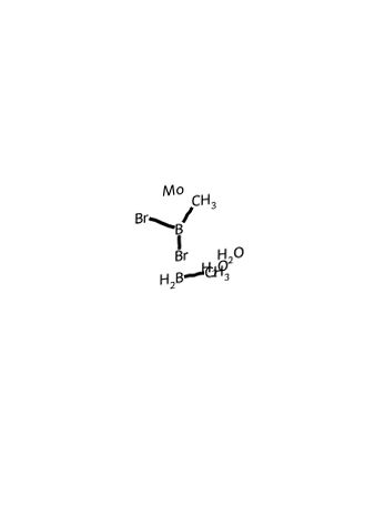 BC.CB(Br)Br.O.O.[Mo]